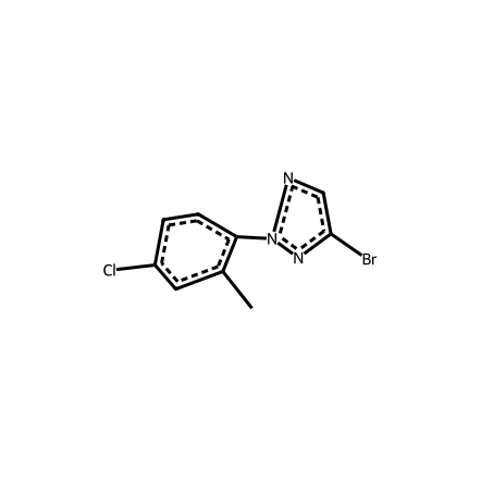 Cc1cc(Cl)ccc1-n1ncc(Br)n1